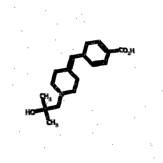 CC(C)(O)CN1CCC(=CC2C=CC(C(=O)O)=CC2)CC1